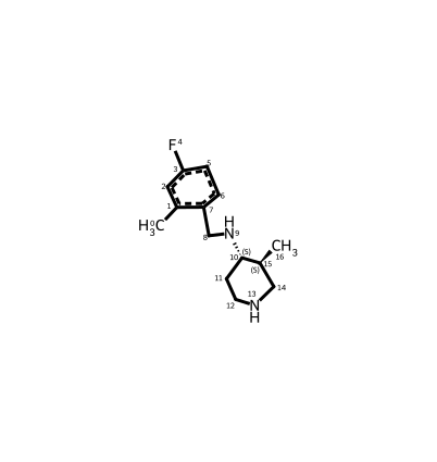 Cc1cc(F)ccc1CN[C@H]1CCNC[C@@H]1C